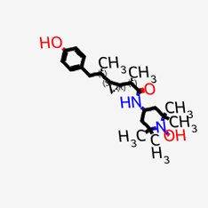 C[C@H](C(=O)NC1CC(C)(C)N(O)C(C)(C)C1)[C@@H]1C[C@H]1[C@@H](C)Cc1ccc(O)cc1